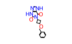 O=c1[nH]c2nc[nH]c2c(=O)n1C1CC(OCc2ccccc2)C1